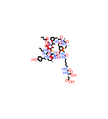 CCCCN(C)[C@H](C)C(=O)NC(C(=O)N(COC(=O)CCC)[C@H](C[C@@H](OC(C)=O)c1nc(C(=O)N[C@@H](CCc2ccc(O)cc2)C[C@H](C)C(=O)NNC(=O)OCCSSC[C@@H](C)NC(=O)[C@H](C)NC(=O)[C@H](Cc2ccccc2)NC(=O)Cc2ccc(CNC(=O)NCCCCCNC(=O)N[C@@H](CCC(=O)O)C(=O)O)cc2)cs1)C(C)C)[C@@H](C)CC